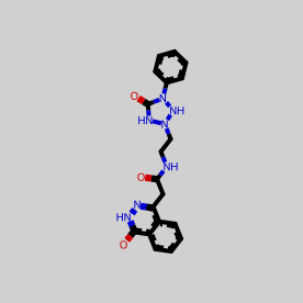 O=C(Cc1n[nH]c(=O)c2ccccc12)NCCN1NC(=O)N(c2ccccc2)N1